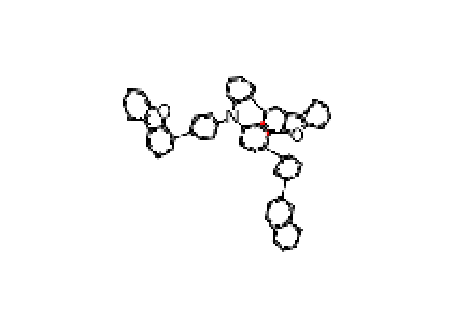 c1cc(-c2ccc(N(c3ccc(-c4cccc5c4oc4ccccc45)cc3)c3ccccc3-c3ccc4oc5ccccc5c4c3)cc2)cc(-c2ccc3ccccc3c2)c1